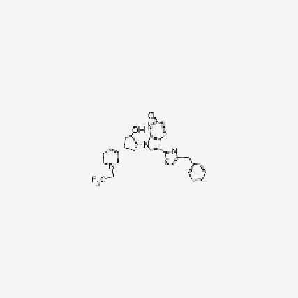 O[C@@H]1C[C@@H](C2=CCCN(CC(F)(F)F)C2)C[C@H]1n1cc(-c2nc(Cc3ccccc3)cs2)c2cnc(Cl)nc21